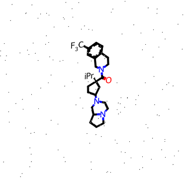 CC(C)[C@]1(C(=O)N2CCc3ccc(C(F)(F)F)cc3C2)CCC(N2CCN3CCCC3C2)C1